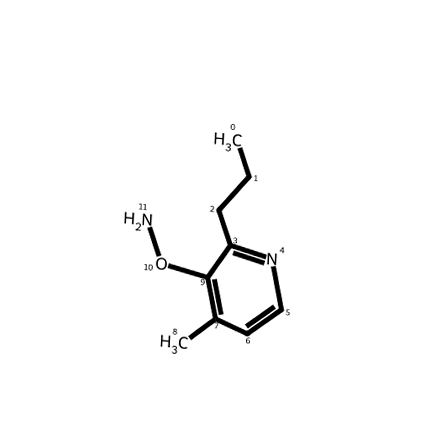 CCCc1nccc(C)c1ON